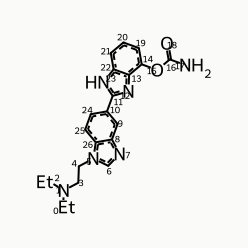 CCN(CC)CCn1cnc2cc(-c3nc4c(OC(N)=O)cccc4[nH]3)ccc21